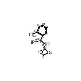 CC(C)[C@H](NC1OCO1)c1ccccc1Cl